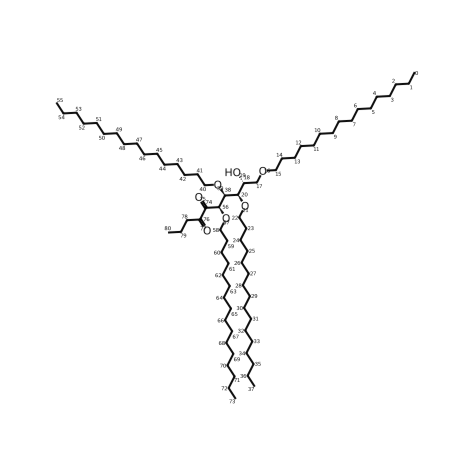 CCCCCCCCCCCCCCCCOC[C@@H](O)[C@@H](OCCCCCCCCCCCCCCCC)[C@H](OCCCCCCCCCCCCCCCC)[C@@H](OCCCCCCCCCCCCCCCC)C(=O)C(=O)CCC